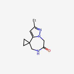 CCc1cc2n(n1)CC(=O)NCC21CC1